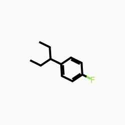 CCC(CC)c1ccc(F)cc1